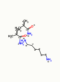 C=C(C)C(N)=O.C=C(C)C(N)=O.NCCCCCCN